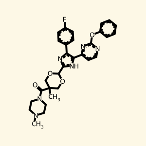 CN1CCN(C(=O)C2(C)COC(c3nc(-c4ccc(F)cc4)c(-c4ccnc(Oc5ccccc5)n4)[nH]3)OC2)CC1